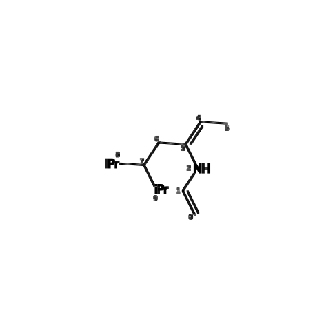 C=CN/C(=C\C)CC(C(C)C)C(C)C